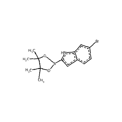 CC1(C)OB(c2cc3ccc(Br)cc3[nH]2)OC1(C)C